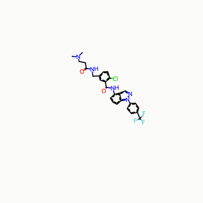 CN(C)CCC(=O)NCc1ccc(Cl)c(C(=O)Nc2cccc3c2cnn3-c2ccc(C(F)(F)F)cc2)c1